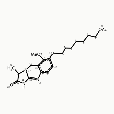 COc1c(OCCCCCCCOC(C)=O)ccc2c1CN1C(=N2)NC(=O)C1C